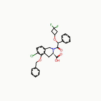 O=C(O)[C@H]1Cc2c(ccc(Cl)c2OCc2ccccc2)CN1C(=O)C(OC1CC(F)(F)C1)c1ccccc1